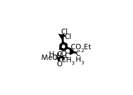 CCOC(=O)C1(c2cc(C3CC3(Cl)Cl)ccc2OC(C)(C)C(=O)OC)C(C)=C1C